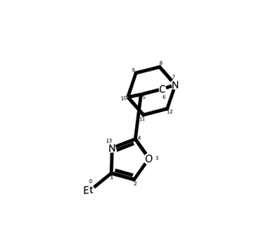 CCc1coc(C2CN3CCC2CC3)n1